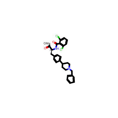 COC(=O)[C@H](Cc1ccc(C2CCN(Cc3ccccc3)CC2)cc1)NC(=O)c1c(Cl)cccc1Cl